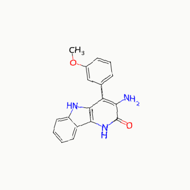 COc1cccc(-c2c(N)c(=O)[nH]c3c2[nH]c2ccccc23)c1